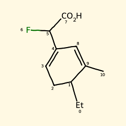 CCC1CC=C(C(F)C(=O)O)C=C1C